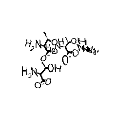 C[C@@H](O)[C@H](N)C(=O)[O-].C[C@@H](O)[C@H](N)C(=O)[O-].C[C@@H](O)[C@H](N)C(=O)[O-].[Na+].[Na+].[Na+]